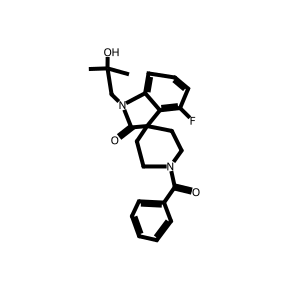 CC(C)(O)CN1C(=O)C2(CCN(C(=O)c3ccccc3)CC2)c2c(F)cccc21